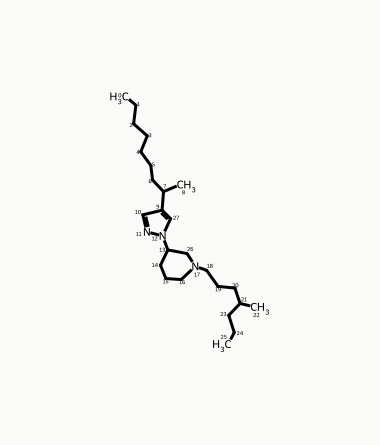 CCCCCCCC(C)c1cnn(C2CCCN(CCCC(C)CCC)C2)c1